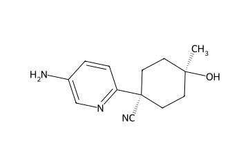 C[C@]1(O)CC[C@@](C#N)(c2ccc(N)cn2)CC1